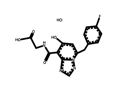 Cl.O=C(O)CNC(=O)c1c(O)cc(Cc2ccc(F)cc2)n2ncnc12